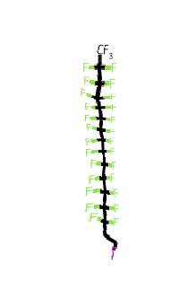 FC(F)(F)C(F)(F)C(F)(F)C(F)(F)C(F)(F)C(F)(F)C(F)(F)C(F)(F)C(F)(F)C(F)(F)C(F)(F)C(F)(F)C(F)(F)C(F)(F)CCI